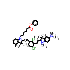 CN(C)c1ccc2c(c1)C(C)(C)C(/C=C/C1=C(Cl)C(C=C=C3N(CCCCCC(=O)Oc4ccccc4)c4ccccc4C3(C)C)CCC1)=[N+]2C.[Cl-]